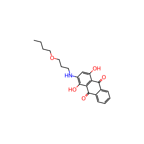 CCCCOCCCNc1cc(O)c2c(c1O)C(=O)c1ccccc1C2=O